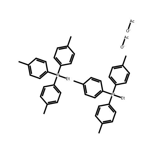 CC(=O)[O-].CC(=O)[O-].CC[P+](c1ccc(C)cc1)(c1ccc(C)cc1)c1ccc(C)cc1.CC[P+](c1ccc(C)cc1)(c1ccc(C)cc1)c1ccc(C)cc1